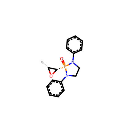 C[C@H]1O[C@H]1P1(=O)N(c2ccccc2)CCN1c1ccccc1